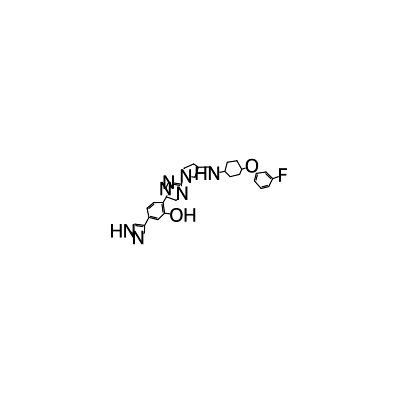 Oc1cc(-c2cn[nH]c2)ccc1-c1cnc(N2CCC(CNC3CCC(Oc4cccc(F)c4)CC3)C2)nn1